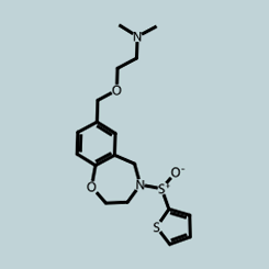 CN(C)CCOCc1ccc2c(c1)CN([S+]([O-])c1cccs1)CCO2